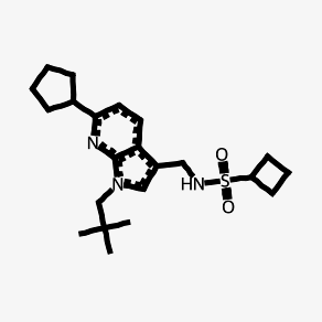 CC(C)(C)Cn1cc(CNS(=O)(=O)C2CCC2)c2ccc(C3CCCC3)nc21